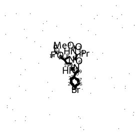 COC(=O)N[C@H](C(=O)N1CC(COC(F)F)C[C@H]1c1ncc(-c2ccc(Br)cc2)[nH]1)C(C)C